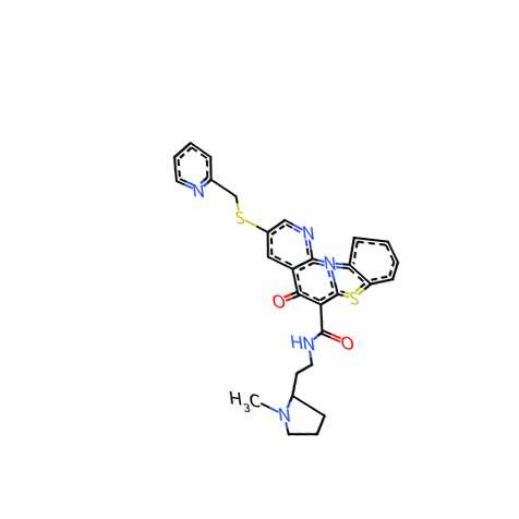 CN1CCCC1CCNC(=O)c1c(=O)c2cc(SCc3ccccn3)cnc2n2c1sc1ccccc12